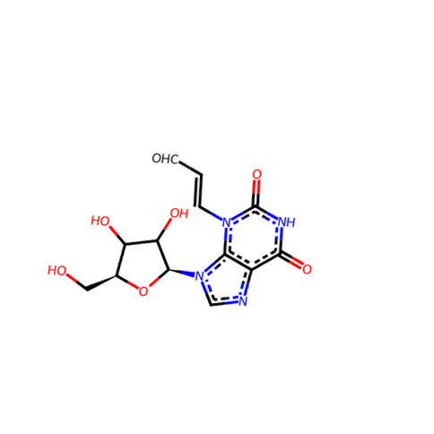 O=CC=Cn1c(=O)[nH]c(=O)c2ncn([C@H]3O[C@@H](CO)C(O)C3O)c21